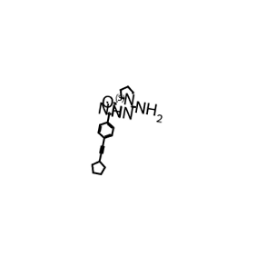 N=C(N)N1CCC[C@H]1c1nc(-c2ccc(C#CC3CCCC3)cc2)no1